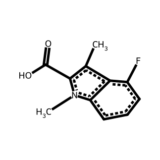 Cc1c(C(=O)O)n(C)c2cccc(F)c12